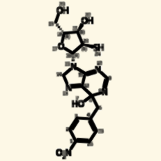 O=[N+]([O-])c1ccc(CC2(O)N=CN=C3C2=NCN3[C@@H]2O[C@H](CO)[C@@H](O)[C@H]2S)cc1